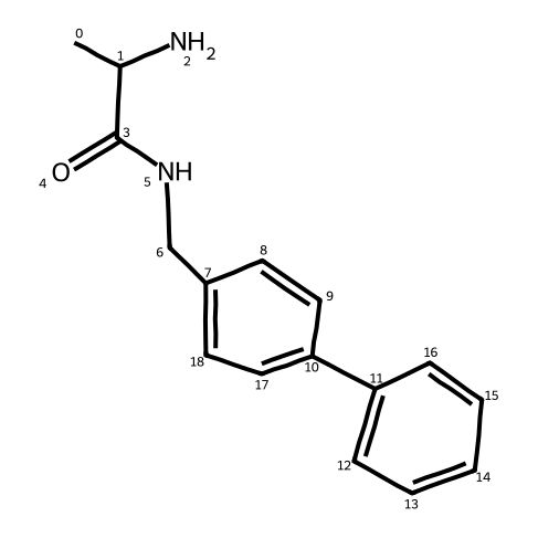 CC(N)C(=O)NCc1ccc(-c2ccccc2)cc1